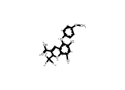 CSc1ccc(Oc2c(Cl)cc(Cl)c3c2C=C(C(=O)O)C(C(F)(F)F)O3)cc1